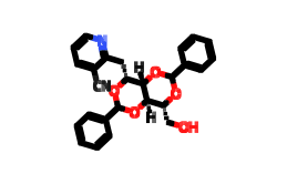 N#Cc1cccnc1C[C@H]1OC(c2ccccc2)O[C@H]2[C@H]1OC(c1ccccc1)O[C@@H]2CO